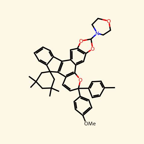 COc1ccc(C2(c3ccc(C)cc3)C=Cc3c4c(c5cc6c(cc5c3O2)OC(N2CCOCC2)O6)-c2ccccc2C42CC(C)(C)CC(C)(C)C2)cc1